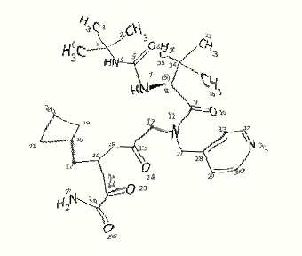 CC(C)(C)NC(=O)N[C@H](C(=O)N(CC(=O)CC(CC1CCC1)C(=O)C(N)=O)Cc1ccncc1)C(C)(C)C